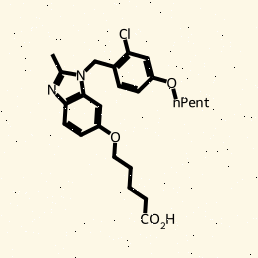 CCCCCOc1ccc(Cn2c(C)nc3ccc(OCCCCC(=O)O)cc32)c(Cl)c1